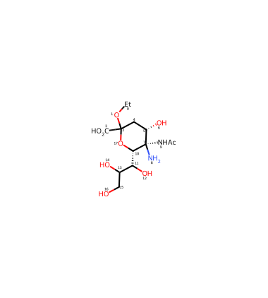 CCOC1(C(=O)O)C[C@H](O)[C@](N)(NC(C)=O)[C@H](C(O)C(O)CO)O1